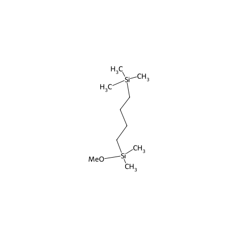 CO[Si](C)(C)CCCC[Si](C)(C)C